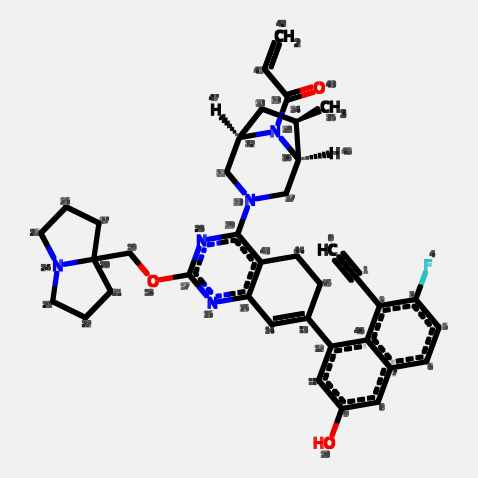 C#Cc1c(F)ccc2cc(O)cc(C3=Cc4nc(OCC56CCCN5CCC6)nc(N5C[C@H]6C[C@@H](C)[C@@H](C5)N6C(=O)C=C)c4CC3)c12